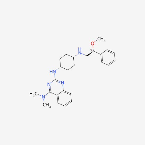 CO[C@H](CN[C@H]1CC[C@@H](Nc2nc(N(C)C)c3ccccc3n2)CC1)c1ccccc1